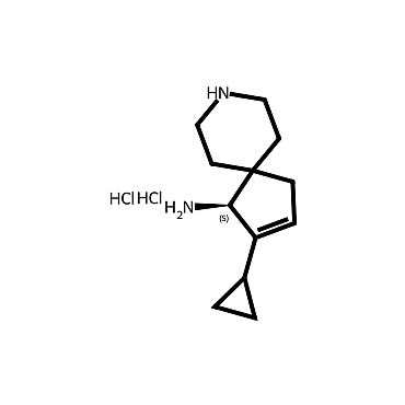 Cl.Cl.N[C@@H]1C(C2CC2)=CCC12CCNCC2